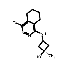 C[C@]1(O)C[C@@H](Nc2nnc(Cl)c3c2CCCC3)C1